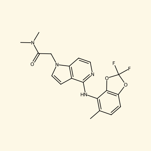 Cc1ccc2c(c1Nc1nccc3c1ccn3CC(=O)N(C)C)OC(F)(F)O2